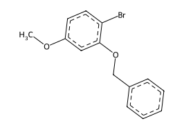 COc1ccc(Br)c(OCc2ccccc2)c1